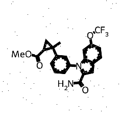 COC(=O)C1CC1(C)c1cccc(-n2c(C(N)=O)cc3ccc(OC(F)(F)F)cc32)c1